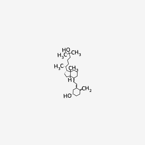 C=C1CC[C@H](O)CC1=CC=C1CCC[C@@]2(C)[C@@H]([C@H](C)CCCC(C)(C)O)CC[C@@H]12